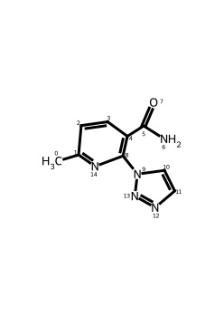 Cc1ccc(C(N)=O)c(-n2ccnn2)n1